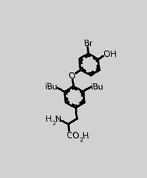 CCC(C)c1cc(CC(N)C(=O)O)cc(C(C)CC)c1Oc1ccc(O)c(Br)c1